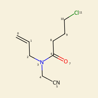 C=CCN(CC#N)C(=O)CCCCl